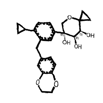 O[C@@H]1[C@H](O)C2(CC2)OC[C@]1(O)c1ccc(C2CC2)c(Cc2ccc3c(c2)OCCO3)c1